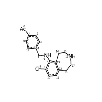 CC(=O)c1ccc(CNc2c(Cl)ccc3c2CCNCC3)cc1